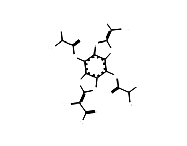 CCCCC(CC)C(=O)Oc1c2c(c(OC(=O)C(CC)CCCC)c3c1SC(=C(C#N)C(N)=O)S3)SC(=C(C#N)C=O)S2